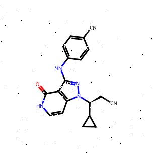 N#CC[C@@H](C1CC1)n1nc(Nc2ccc(C#N)cc2)c2c(=O)[nH]ccc21